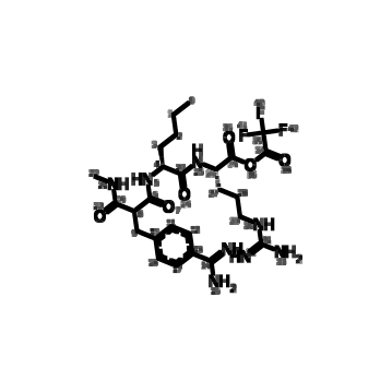 CCCC[C@H](NC(=O)C(Cc1ccc(C(=N)N)cc1)C(=O)NC)C(=O)N[C@@H](CCCNC(=N)N)C(=O)OC(=O)C(F)(F)F